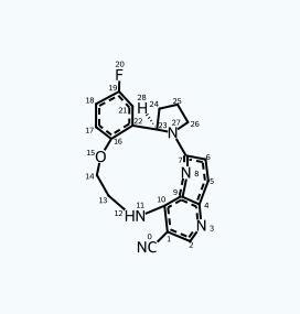 N#Cc1cnc2ccc3nc2c1NCCCOc1ccc(F)cc1[C@H]1CCCN31